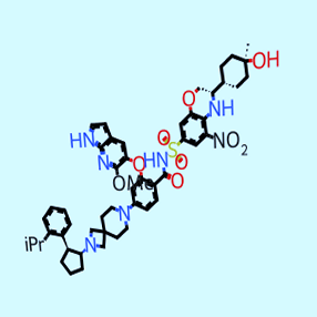 COc1nc2[nH]ccc2cc1Oc1cc(N2CCC3(CC2)CN([C@H]2CCC[C@H]2c2ccccc2C(C)C)C3)ccc1C(=O)NS(=O)(=O)c1cc2c(c([N+](=O)[O-])c1)N[C@@H]([C@H]1CC[C@](C)(O)CC1)CO2